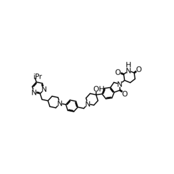 CC(C)c1cnc(CC2CCN(c3ccc(CN4CCC(O)(c5ccc6c(c5)CN(C5CCC(=O)NC5=O)C6=O)CC4)cc3)CC2)nc1